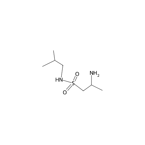 CC(C)CNS(=O)(=O)CC(C)N